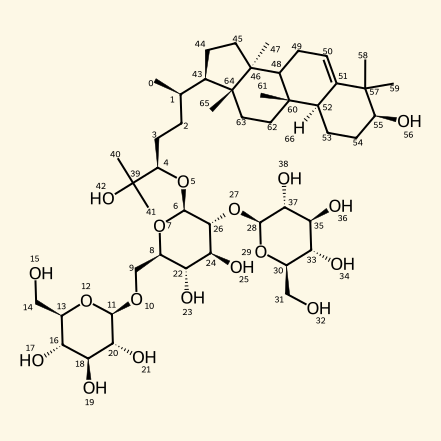 C[C@H](CC[C@@H](O[C@@H]1O[C@H](CO[C@@H]2O[C@H](CO)[C@@H](O)[C@H](O)[C@H]2O)[C@@H](O)[C@H](O)[C@H]1O[C@@H]1O[C@H](CO)[C@@H](O)[C@H](O)[C@H]1O)C(C)(C)O)[C@H]1CC[C@@]2(C)C3CC=C4[C@@H](CC[C@H](O)C4(C)C)[C@]3(C)CC[C@]12C